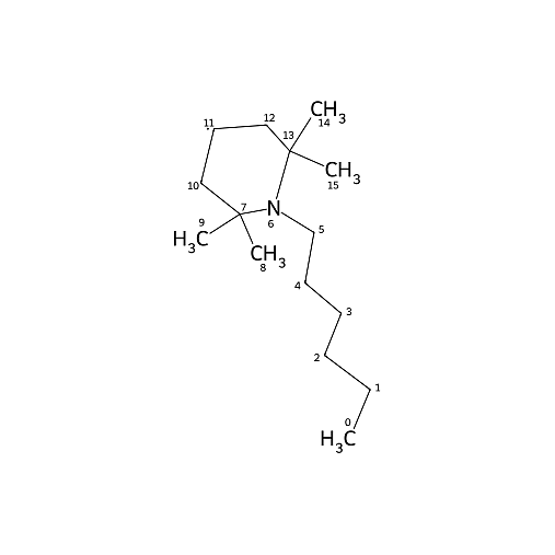 CCCCCCN1C(C)(C)C[CH]CC1(C)C